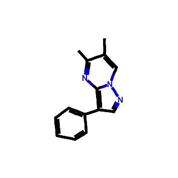 Cc1cn2ncc(-c3ccccc3)c2nc1C